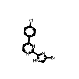 Clc1ccc(-c2ccnc(-c3nc(Br)c[nH]3)n2)cc1